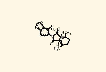 Cc1c(N2C(=O)[C@@H]3[C@H](C2=O)C2(C)CCC3(C)O2)ccc2ncsc12